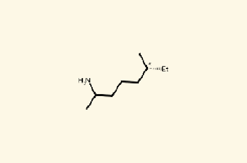 CC[C@@H](C)CCCC(C)N